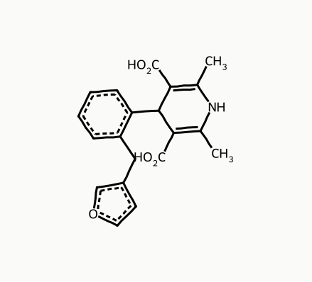 CC1=C(C(=O)O)C(c2ccccc2Cc2ccoc2)C(C(=O)O)=C(C)N1